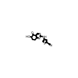 N#Cc1cc(Nc2ncc3c(n2)CCC(O)C3=O)cs1